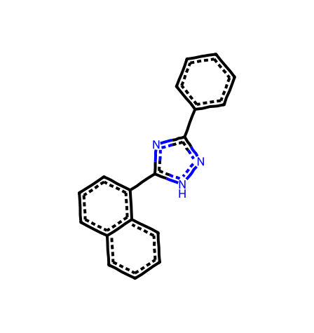 c1ccc(-c2n[nH]c(-c3cccc4ccccc34)n2)cc1